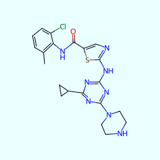 Cc1cccc(Cl)c1NC(=O)c1cnc(Nc2nc(C3CC3)nc(N3CCNCC3)n2)s1